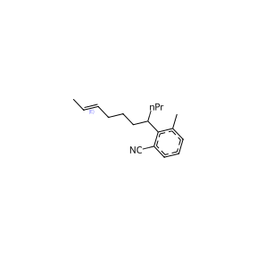 C/C=C/CCCC(CCC)c1c(C)cccc1C#N